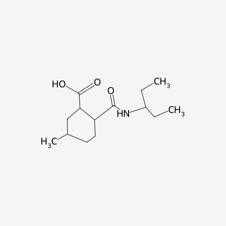 CCC(CC)NC(=O)C1CCC(C)CC1C(=O)O